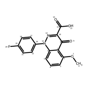 COc1cccc2c1c(=O)c(C(=O)O)nn2-c1ccc(F)cc1